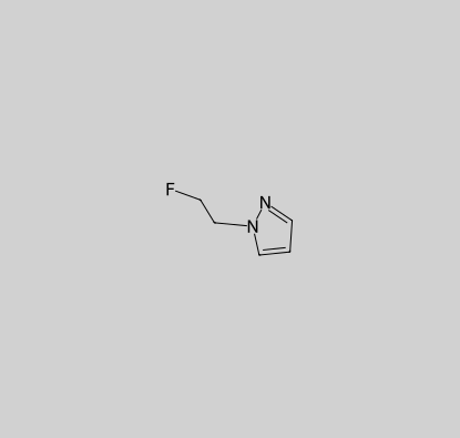 FCCn1cccn1